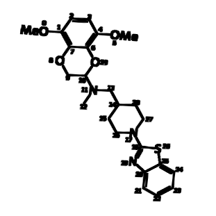 COc1ccc(OC)c2c1OCC(N(C)CC1CCN(c3nc4ccccc4s3)CC1)O2